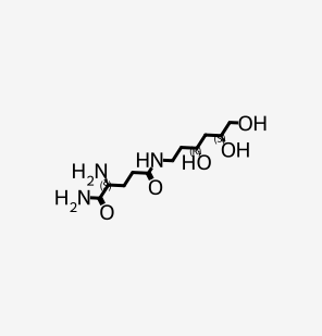 NC(=O)[C@@H](N)CCC(=O)NCC[C@@H](O)C[C@H](O)CO